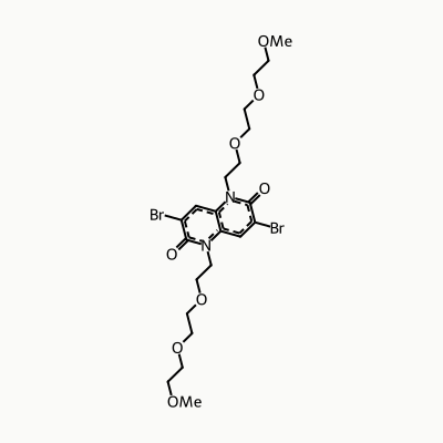 COCCOCCOCCn1c(=O)c(Br)cc2c1cc(Br)c(=O)n2CCOCCOCCOC